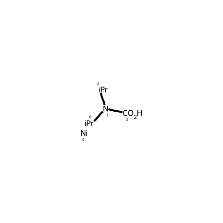 CC(C)N(C(=O)O)C(C)C.[Ni]